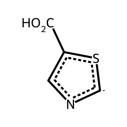 O=C(O)c1cn[c]s1